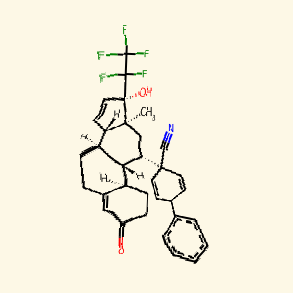 C[C@]12C[C@H](C3(C#N)C=CC(c4ccccc4)C=C3)[C@H]3[C@@H](CCC4=CC(=O)CC[C@@H]43)[C@@H]1C=C[C@@]2(O)C(F)(F)C(F)(F)F